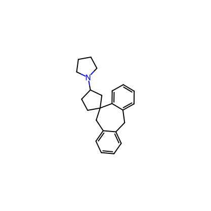 c1ccc2c(c1)Cc1ccccc1C1(CCC(N3CCCC3)C1)C2